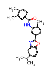 Cc1ccc(C(=O)Nc2cc(-c3nc4cc(C(C)C)ccc4o3)ccc2C)cc1C